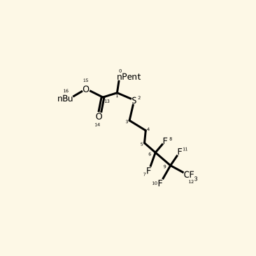 CCCCCC(SCCCC(F)(F)C(F)(F)C(F)(F)F)C(=O)OCCCC